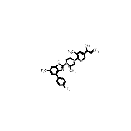 C=CC(O)c1cnc(N2CCN(c3nc4c(-c5ccc(C(F)(F)F)cc5)cc(C(F)(F)F)cc4[nH]3)[C@H](C)C2)c(C(F)(F)F)c1